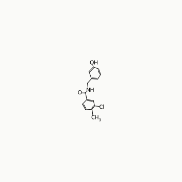 Cc1ccc(C(=O)NCc2cccc(O)c2)cc1Cl